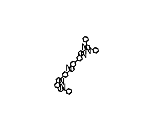 c1ccc(-c2cc(-c3ccccc3)nc(-c3ccc4cc(-c5ccc6nc(-c7ccc(-c8ccc9ccc%10ccc(-c%11ccccc%11)nc%10c9n8)cc7)ccc6c5)ccc4n3)n2)cc1